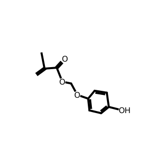 C=C(C)C(=O)OCOc1ccc(O)cc1